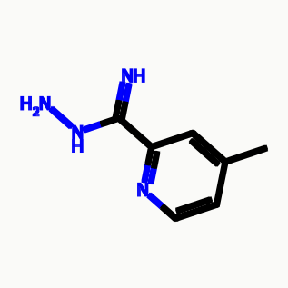 Cc1ccnc(C(=N)NN)c1